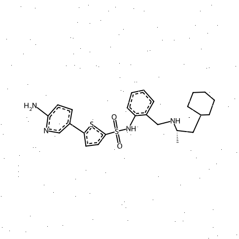 C[C@@H](CC1CCCCC1)NCc1ccccc1NS(=O)(=O)c1ccc(-c2ccc(N)nc2)s1